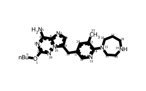 CCCCOc1nc(N)c2ncc(Cc3cnc(N4CCCNCC4)c(C)c3)n2n1